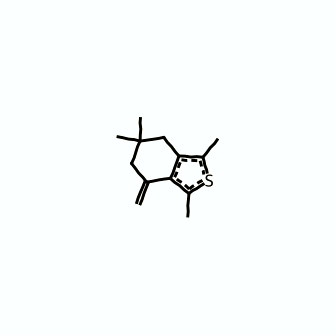 C=C1CC(C)(C)Cc2c(C)sc(C)c21